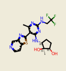 Cc1nc(NCC(F)(F)F)nc(N[C@@H]2CC[C@@H](O)[C@@]2(C)O)c1-c1nc2cnccc2s1